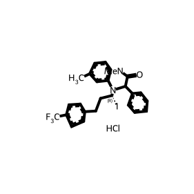 CNC(=O)C(c1ccccc1)N(c1cccc(C)c1)[C@H](I)CCc1ccc(C(F)(F)F)cc1.Cl